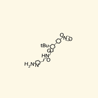 CC(C)(C)c1cc(-c2ccc(C(=O)N3CCOCC3)cc2)cc2cc(CNC(=O)/C=C/c3ccc(N)nc3)oc12